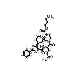 CCCCOC(=O)N1CCN(C(=O)C(CCC(=O)O)NC(=O)c2nc(-c3ccccc3)sc2N2CCOCC2)CC1